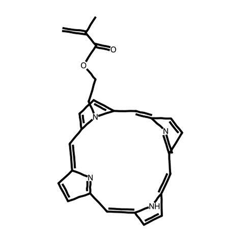 C=C(C)C(=O)OCCn1c2ccc1cc1nc(cc3ccc(cc4nc(c2)C=C4)[nH]3)C=C1